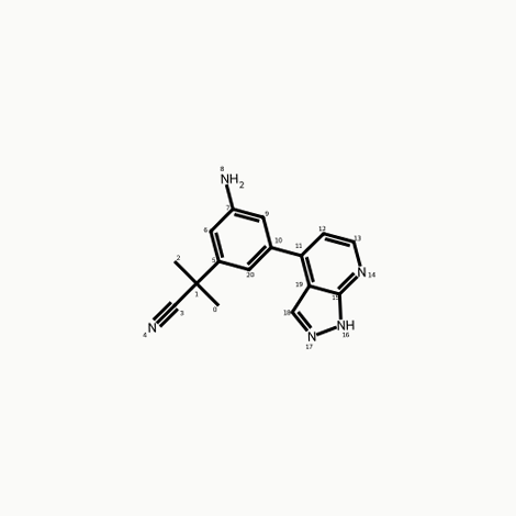 CC(C)(C#N)c1cc(N)cc(-c2ccnc3[nH]ncc23)c1